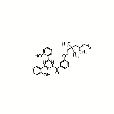 CC(C)CC(C)(C)CCOc1cccc(C(=O)c2nc(-c3ccccc3O)nc(-c3ccccc3O)n2)c1